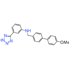 COc1ccc(-c2ccc(CNc3cccc(-c4nn[nH]n4)c3)cc2)cc1